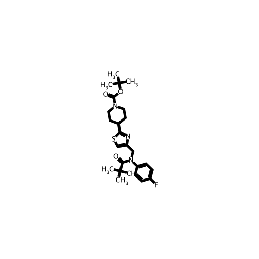 CC(C)(C)OC(=O)N1CCC(c2nc(CN(C(=O)C(C)(C)C)c3ccc(F)cc3)cs2)CC1